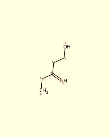 CCC(=N)CCO